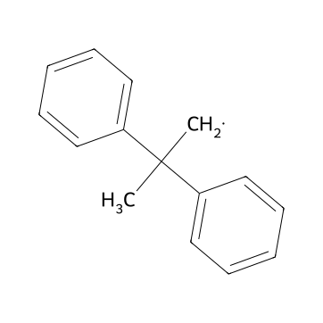 [CH2]C(C)(c1ccccc1)c1ccccc1